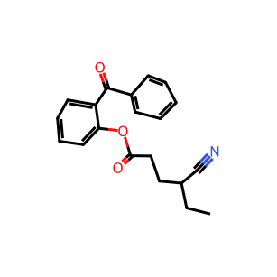 CCC(C#N)CCC(=O)Oc1ccccc1C(=O)c1ccccc1